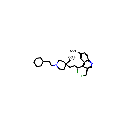 COc1ccc2ncc(CF)c([C@@H](F)CCC3(CC(=O)O)CCN(CCC4CCCCC4)CC3)c2c1